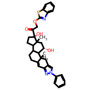 CC12Cc3cn(-c4ccccc4)nc3C=C1CCC1C2[C@@H](O)CC2(C)C1CC[C@]2(O)C(=O)COc1nc2ccccc2s1